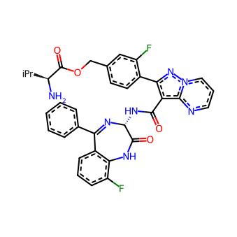 CC(C)[C@H](N)C(=O)OCc1ccc(-c2nn3cccnc3c2C(=O)N[C@H]2N=C(c3ccccc3)c3cccc(F)c3NC2=O)c(F)c1